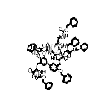 CC(C)(C)OC(=O)N[C@@H](C[C@@H](O)CNC(=O)OCc1ccccc1)C(=O)N[C@@H](Cc1cc(-c2ccc(OCc3ccccc3)c(C[C@H](NC(=O)OCc3ccccc3)C(=O)O)c2)ccc1OCc1ccccc1)C(=O)N[C@@H](Cc1ccccc1)C(=O)OCc1ccccc1